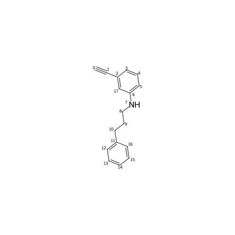 C#Cc1cccc(NCCCc2ccccc2)c1